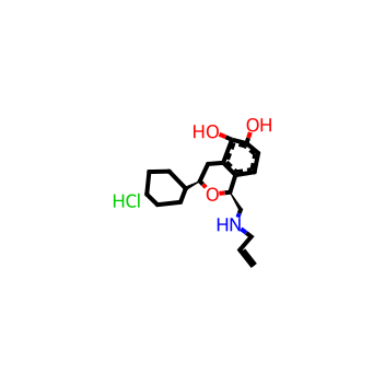 C=CCNC[C@H]1O[C@@H](C2CCCCC2)Cc2c1ccc(O)c2O.Cl